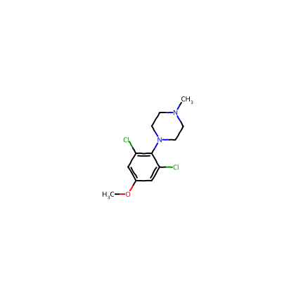 COc1cc(Cl)c(N2CCN(C)CC2)c(Cl)c1